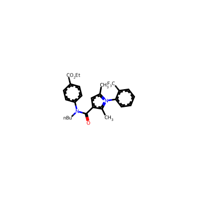 CCCCN(C(=O)c1cc(C)n(-c2ccccc2C(F)(F)F)c1C)c1ccc(C(=O)OCC)cc1